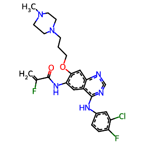 C=C(F)C(=O)Nc1cc2c(Nc3ccc(F)c(Cl)c3)ncnc2cc1OCCCN1CCN(C)CC1